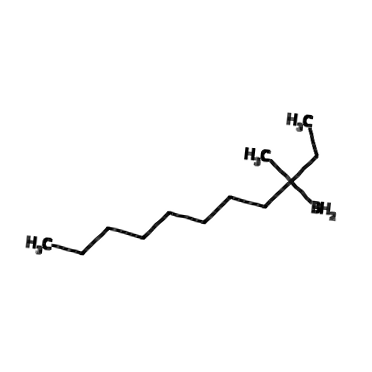 BC(C)(CC)CCCCCCCC